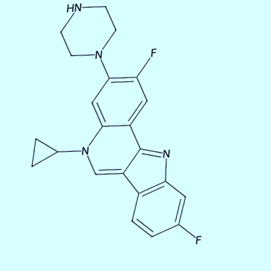 Fc1ccc2c3cn(C4CC4)c4cc(N5CCNCC5)c(F)cc4c-3nc2c1